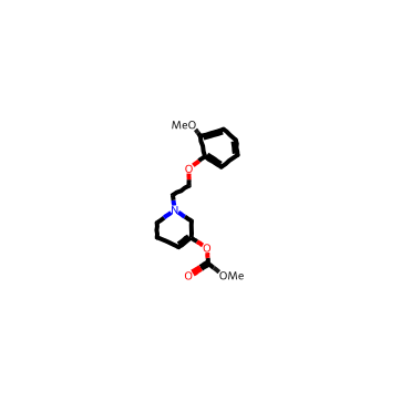 COC(=O)OC1=CCCN(CCOc2ccccc2OC)C1